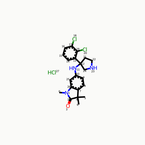 CN1C(=O)C(C)(C)c2ccc(NC3(c4cccc(Cl)c4Cl)CCNC3)cc21.Cl